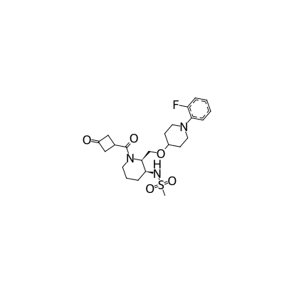 CS(=O)(=O)N[C@H]1CCCN(C(=O)C2CC(=O)C2)[C@H]1COC1CCN(c2ccccc2F)CC1